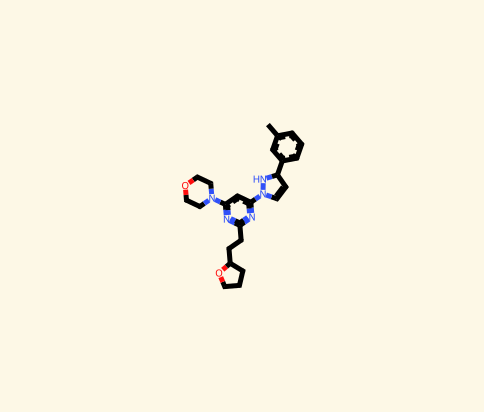 Cc1cccc(C2C=CN(c3cc(N4CCOCC4)nc(CCC4CCCO4)n3)N2)c1